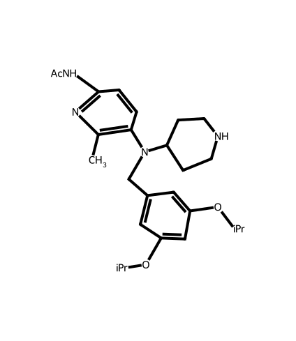 CC(=O)Nc1ccc(N(Cc2cc(OC(C)C)cc(OC(C)C)c2)C2CCNCC2)c(C)n1